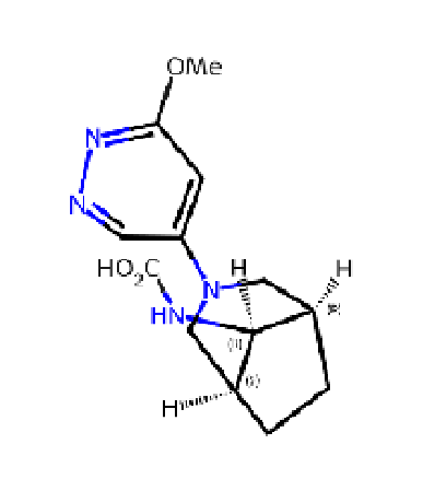 COc1cc(N2C[C@H]3CC[C@@H](C2)[C@H]3NC(=O)O)cnn1